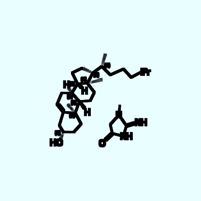 CC(C)CCC[C@@H](C)[C@H]1CC[C@H]2[C@@H]3CC=C4C[C@@H](O)CC[C@]4(C)[C@H]3CC[C@]12C.CN1CC(=O)NC1=N